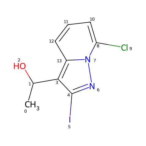 CC(O)c1c(I)nn2c(Cl)cccc12